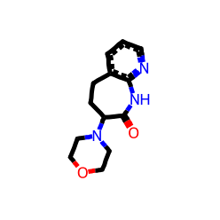 O=C1Nc2ncccc2CCC1N1CCOCC1